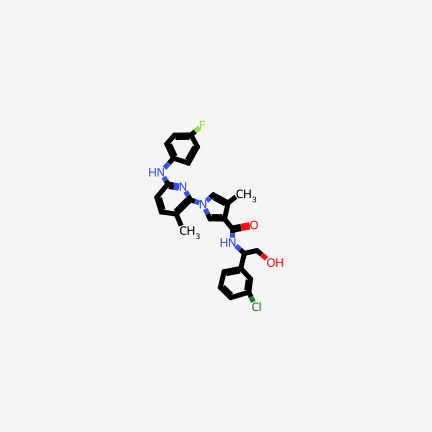 Cc1cn(-c2nc(Nc3ccc(F)cc3)ccc2C)cc1C(=O)NC(CO)c1cccc(Cl)c1